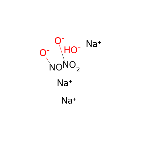 O=N[O-].O=[N+]([O-])[O-].[Na+].[Na+].[Na+].[OH-]